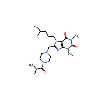 CC(C)CCCn1c(CN2CCN(C(=O)C(C)C)CC2)nc2c1c(=O)n(C)c(=O)n2C